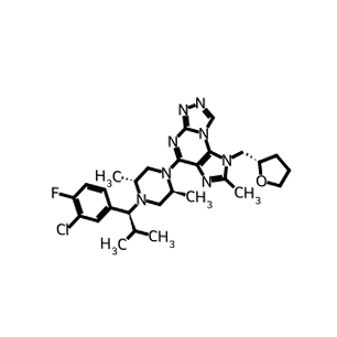 Cc1nc2c(N3C[C@@H](C)N([C@H](c4ccc(F)c(Cl)c4)C(C)C)C[C@@H]3C)nc3nncn3c2n1C[C@@H]1CCCO1